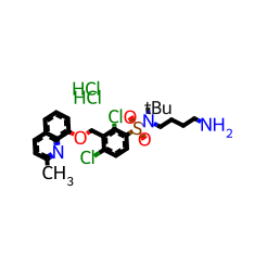 Cc1ccc2cccc(OCc3c(Cl)ccc(S(=O)(=O)N(CCCCN)C(C)(C)C)c3Cl)c2n1.Cl.Cl